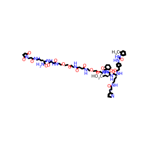 Cc1ccccc1NC(=O)Nc1ccc(CC(=O)N[C@@H](CCCCNC(=O)/C=C/c2cccnc2)C(=O)N[C@@H](CCCC(=O)O)C(=O)NC2(C(=O)NCCOCCOCCNC(=O)CCC(=O)NCCOCCOCCNC(=O)CCC(=O)N[C@@H](CCCCNC(=O)CCN3C(=O)C=CC3=O)C(N)=O)CCCCC2)cc1